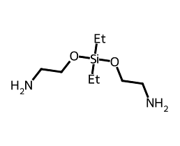 CC[Si](CC)(OCCN)OCCN